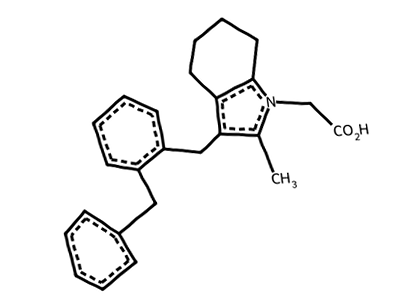 Cc1c(Cc2ccccc2Cc2ccccc2)c2c(n1CC(=O)O)CCCC2